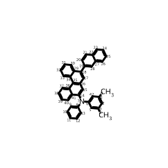 Cc1cc(C)cc(N(c2ccccc2)c2cc3cc(-c4ccc5ccccc5c4)c4ccccc4c3c3ccccc23)c1